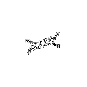 [N-]=[N+]=NCC1(CN=[N+]=[N-])COC2(CCC3(CC2)OCC(CN=[N+]=[N-])(CN=[N+]=[N-])CO3)OC1